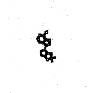 CC1(C)OC2CC[C@@H](c3cnc4c(Cl)nccn34)C2O1